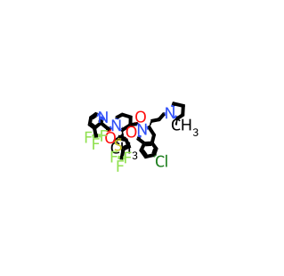 CCC[C@H]1N(C(=O)c2ncccc2C(F)(F)F)CCC[C@@]1(Oc1csc(C(F)(F)F)c1)C(=O)N1Cc2ccc(Cl)cc2C[C@@H]1CCCN1CCC[C@H]1C